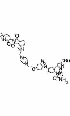 CC(C)(C)c1cc(-c2cc(-n3cnc4cc(OCCN5CCN(CCNc6cccc7c6C(=O)N(C6CCC(=O)NC6=O)C7=O)CC5)ccc43)ccc2NC(N)=O)[nH]n1